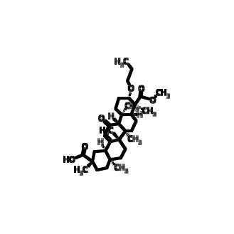 CCCO[C@H]1CC[C@@]2(C)[C@@H](CC[C@]3(C)[C@@H]2C(=O)C=C2[C@@H]4C[C@@](C)(C(=O)O)CC[C@]4(C)CC[C@]23C)[C@]1(C)C(=O)OC